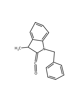 CC1C(=C=O)N(Cc2ccccc2)c2ccccc21